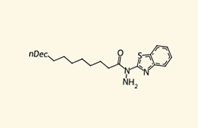 CCCCCCCCCCCCCCCCCC(=O)N(N)c1nc2ccccc2s1